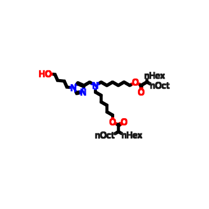 CCCCCCCCC(CCCCCC)C(=O)OCCCCCCN(CCCCCCOC(=O)C(CCCCCC)CCCCCCCC)Cc1cn(CCCCO)cn1